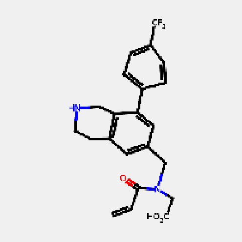 C=CC(=O)N(CC(=O)O)Cc1cc2c(c(-c3ccc(C(F)(F)F)cc3)c1)CNCC2